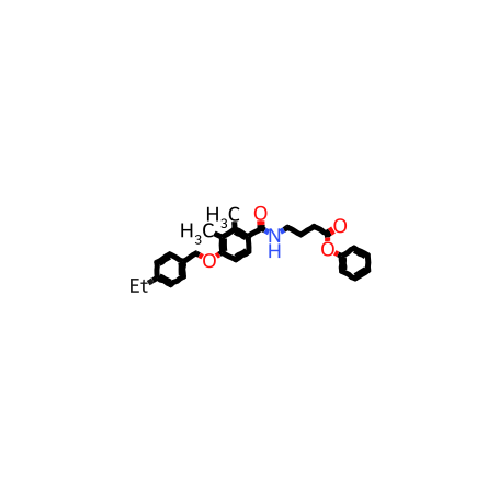 CCc1ccc(COc2ccc(C(=O)NCCCC(=O)Oc3ccccc3)c(C)c2C)cc1